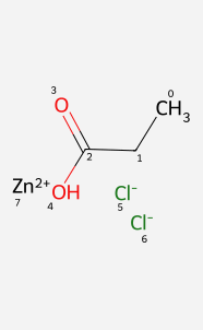 CCC(=O)O.[Cl-].[Cl-].[Zn+2]